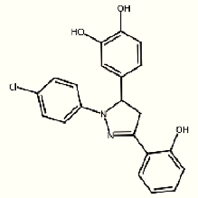 Oc1ccc(C2CC(c3ccccc3O)=NN2c2ccc(Cl)cc2)cc1O